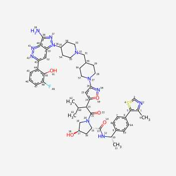 Cc1ncsc1-c1ccc([C@H](C)NC(=O)[C@@H]2C[C@@H](O)CN2C(=O)C(c2cc(N3CCC(CN4CCC(n5nc(N)c6nnc(-c7cccc(F)c7O)cc65)CC4)CC3)no2)C(C)C)cc1